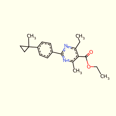 CCOC(=O)c1c(C)nc(-c2ccc(C3(C)CC3)cc2)nc1CC